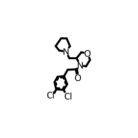 O=C(Cc1ccc(Cl)c(Cl)c1)N1CCOCC1CN1CCCCC1